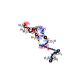 CO[C@@H]1C[C@@H](C[C@H]2CC[C@H](C)C([C@@H](C)C(=O)NCCSSC[C@H](NC(=O)C(CCCNC(=O)CCCCC[N+]3=C(/C=C/C=C/C=C4/N(C)c5ccccc5C4(C)C)C(C)(C)c4ccccc43)NC(=O)CC[C@H](NC(=O)c3ccc(NCc4cnc5nc(N)[nH]c(=O)c5n4)cc3)C(=O)O)C(=O)O)O2)O[C@]2(O[C@@](C)(C3CC[C@@](C)([C@@H]4O[C@@H]([C@@H]5O[C@@](O)(CO)[C@H](C)C[C@@H]5C)C[C@@H]4C)O3)C3C[C@H]32)[C@@H]1C